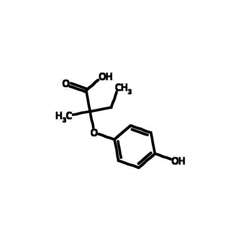 CCC(C)(Oc1ccc(O)cc1)C(=O)O